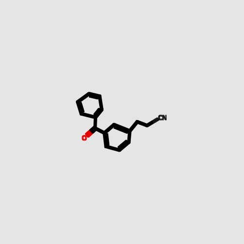 N#CCCc1cccc(C(=O)c2ccccc2)c1